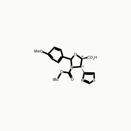 COc1ccc(C2O[C@@H](C(=O)O)[C@H](c3cscn3)N2C(=O)OC(C)(C)C)cc1